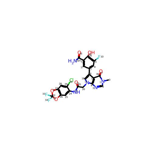 Cn1cnc2c(c(-c3cc(F)c(O)c(C(N)=O)c3)cn2CC(=O)Nc2cc3c(cc2Cl)OC(F)(F)O3)c1=O